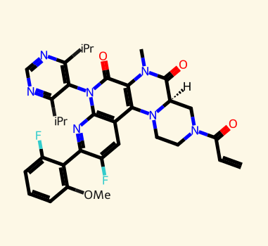 C=CC(=O)N1CCN2c3c(c(=O)n(-c4c(C(C)C)ncnc4C(C)C)c4nc(-c5c(F)cccc5OC)c(F)cc34)N(C)C(=O)[C@H]2C1